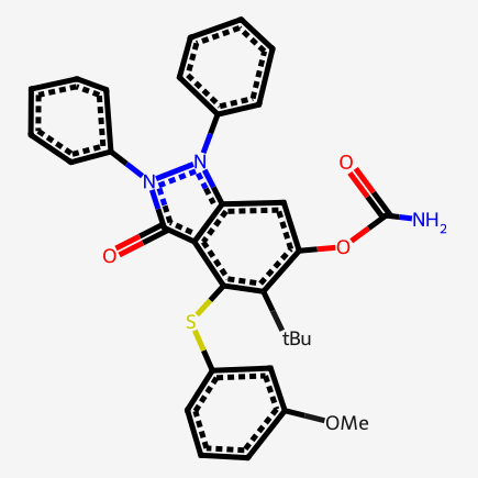 COc1cccc(Sc2c(C(C)(C)C)c(OC(N)=O)cc3c2c(=O)n(-c2ccccc2)n3-c2ccccc2)c1